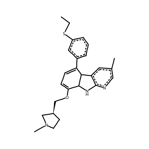 CCSc1cccc(C2=CC=C(OC[C@H]3CCN(C)C3)C3Nc4ncc(C)cc4C23)c1